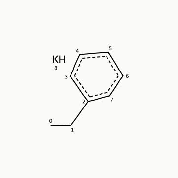 CCc1ccccc1.[KH]